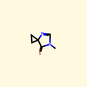 CN1C=NC2(CC2)C1=S